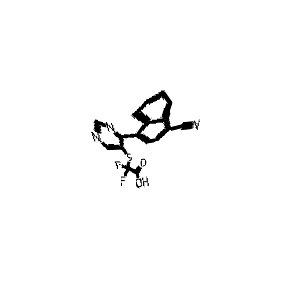 N#Cc1ccc(-c2ncncc2SC(F)(F)C(=O)O)c2ccccc12